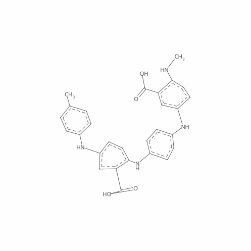 CNc1ccc(Nc2ccc(Nc3ccc(Nc4ccc(C)cc4)cc3C(=O)O)cc2)cc1C(=O)O